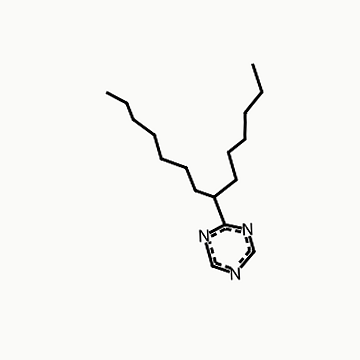 CCCCCCCC(CCCCCC)c1ncncn1